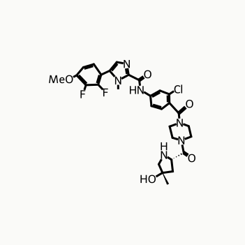 COc1ccc(-c2cnc(C(=O)Nc3ccc(C(=O)N4CCN(C(=O)[C@@H]5C[C@](C)(O)CN5)CC4)c(Cl)c3)n2C)c(F)c1F